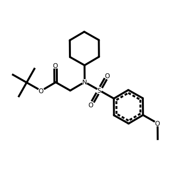 COc1ccc(S(=O)(=O)N(CC(=O)OC(C)(C)C)C2CCCCC2)cc1